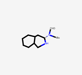 CC(C)(C)N(C=O)[C@H]1CC2CCCCC2CN1